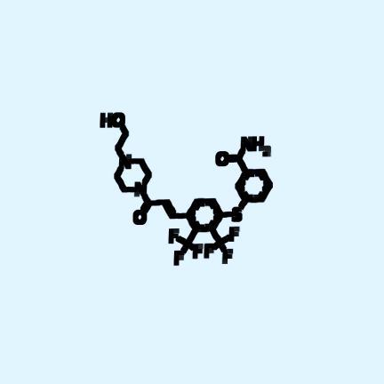 NC(=O)c1cccc(Sc2ccc(C=CC(=O)N3CCN(CCO)CC3)c(C(F)(F)F)c2C(F)(F)F)c1